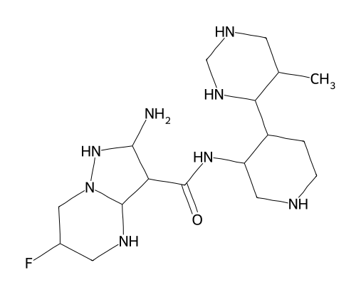 CC1CNCNC1C1CCNCC1NC(=O)C1C(N)NN2CC(F)CNC12